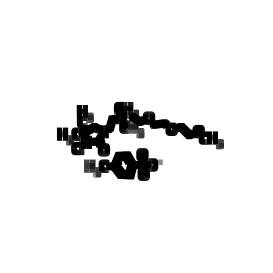 COCCOCCOCC[N+](C)(C)CCN1CC(C)(C)N(Cl)C1=O.Cc1ccc(S(=O)(=O)[O-])cc1